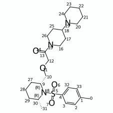 Cc1ccc(S(=O)(=O)N2[C@@H](COCC(=O)N3CCC(N4CCCCC4)CC3)CCC[C@H]2C)cc1